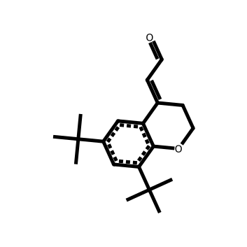 CC(C)(C)c1cc2c(c(C(C)(C)C)c1)OCCC2=CC=O